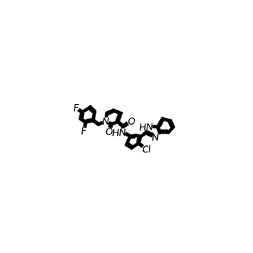 O=C(Nc1ccc(Cl)c(-c2nc3ccccc3[nH]2)c1)c1cccn(Cc2ccc(F)cc2F)c1=O